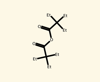 CCC(CC)(CC)C(=O)OC(=O)C(CC)(CC)CC